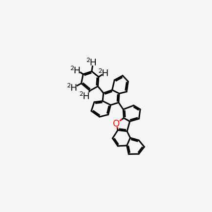 [2H]c1c([2H])c([2H])c(-c2c3ccccc3c(-c3cccc4c3oc3ccc5ccccc5c34)c3ccccc23)c([2H])c1[2H]